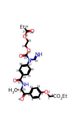 CCOC(=O)COc1ccc(C(=O)[C@H](C)NC(=O)c2ccc(N(C=N)C(=O)OCCOC(=O)CC)cc2)cc1